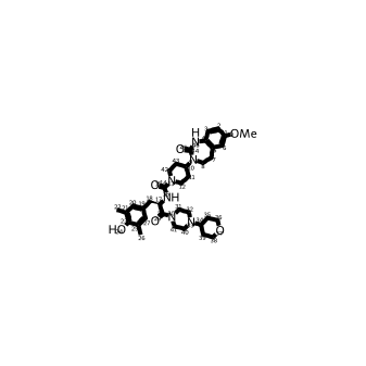 COc1ccc2c(c1)CCN(C1CCN(C(=O)N[C@H](Cc3cc(C)c(O)c(C)c3)C(=O)N3CCN(C4CCOCC4)CC3)CC1)C(=O)N2